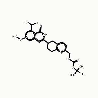 COc1cc(C(C)C)c2c(=O)[nH]c(N3CCc4nc(CNC(=O)OC(C)(C)C)ccc4C3)nc2c1